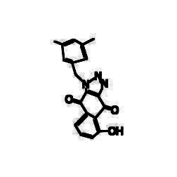 Cc1cc(C)cc(Cn2nnc3c2C(=O)c2cccc(O)c2C3=O)c1